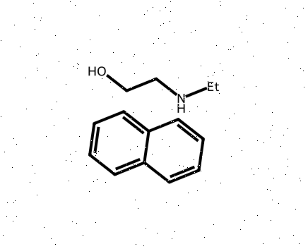 CCNCCO.c1ccc2ccccc2c1